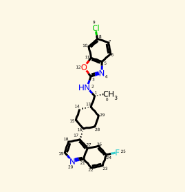 C[C@@H](Nc1nc2ccc(Cl)cc2o1)[C@H]1CC[C@@H](c2ccnc3ccc(F)cc32)CC1